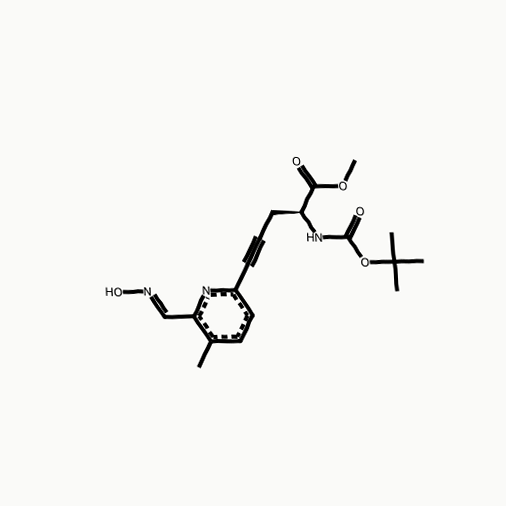 COC(=O)[C@H](CC#Cc1ccc(C)c(/C=N/O)n1)NC(=O)OC(C)(C)C